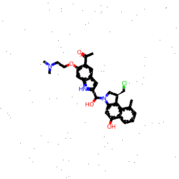 CC(=O)c1cc2cc(C(O)N3C[C@@H](CCl)c4c3cc(O)c3cccc(C)c43)[nH]c2cc1OCCN(C)C